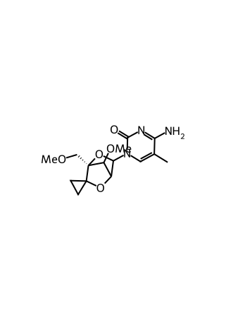 COC[C@@]12OC(n3cc(C)c(N)nc3=O)C(OC13CC3)C2OC